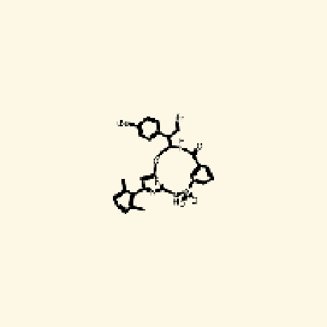 Cc1cccc(C)c1-c1cc2nc(n1)NS(=O)(=O)c1cccc(c1)C(=O)NC(C(CC(C)C)c1ccc(C(C)(C)C)cc1)CO2